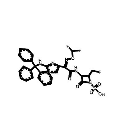 O=C(NC1C(=O)N(S(=O)(=O)O)C1CF)C(=NOC(F)F)c1csc(NC(c2ccccc2)(c2ccccc2)c2ccccc2)n1